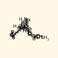 CCC1CCN(C(=O)OCc2ccc(NC(=O)[C@H](CCCNC(N)=O)NC(=O)[C@@H](NC(=O)CCCCCN3C(=O)C=CC3=O)C(C)C)cc2)CC1